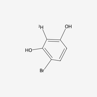 [2H]c1c(O)ccc(Br)c1O